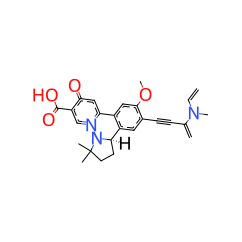 C=CN(C)C(=C)C#Cc1cc2c(cc1OC)-c1cc(=O)c(C(=O)O)cn1N1[C@@H]2CCC1(C)C